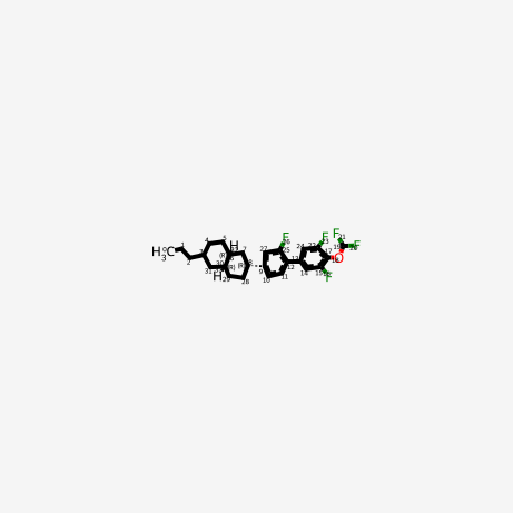 CCCC1CC[C@@H]2C[C@H](c3ccc(-c4cc(F)c(OC(F)F)c(F)c4)c(F)c3)CC[C@@H]2C1